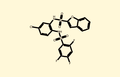 O=S(=O)(Nc1cc(Cl)ccc1NS(=O)(=O)c1cc(F)c(F)cc1F)c1cc2ccccc2o1